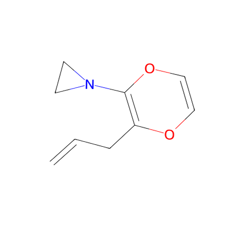 C=CCC1=C(N2CC2)OC=CO1